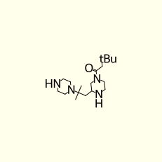 CC(C)(C)CC(=O)N1CCNC(CC(C)(C)N2CCNCC2)C1